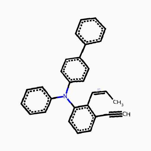 C#Cc1cccc(N(c2ccccc2)c2ccc(-c3ccccc3)cc2)c1/C=C\C